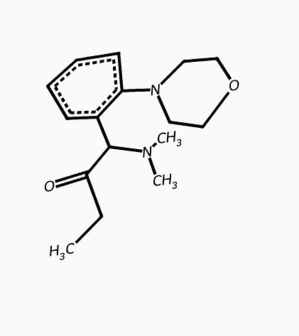 CCC(=O)C(c1ccccc1N1CCOCC1)N(C)C